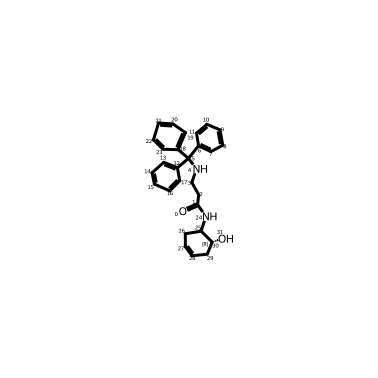 O=C(CCNC(c1ccccc1)(c1ccccc1)c1ccccc1)NC1CC=CC[C@H]1O